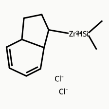 C[SiH](C)[Zr+2][CH]1CCC2C=CC=CC21.[Cl-].[Cl-]